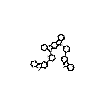 c1cc(-c2ccc3sc4ccccc4c3c2)cc(-n2c3ccccc3c3cc4c5ccccc5n(-c5cccc(-c6ccc7sc8ccccc8c7c6)n5)c4cc32)c1